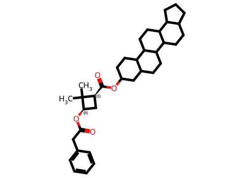 CC1(C)[C@@H](C(=O)OC2CCC3C(CCC4C3CCC3C5CCCC5CCC34)C2)C[C@H]1OC(=O)Cc1ccccc1